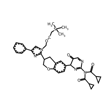 C[Si](C)(C)CCOCn1cc(-c2ccccc2)nc1C1COc2ccc(C3N=C(N(C(=O)C4CC4)C(=O)C4CC4)N=CC3=O)cc2C1